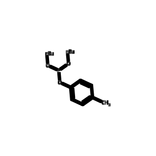 CCCCOP(OCCCC)Oc1ccc(C)cc1